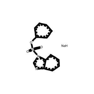 O=S(=O)(Oc1ccccc1)n1cnc2ccccc21.[NaH]